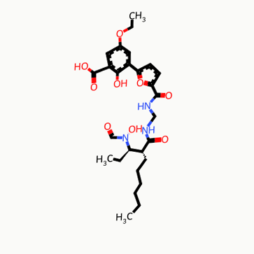 CCCCCC[C@@H](C(=O)NCNC(=O)c1ccc(-c2cc(OCC)cc(C(=O)O)c2O)o1)[C@@H](CC)N(O)C=O